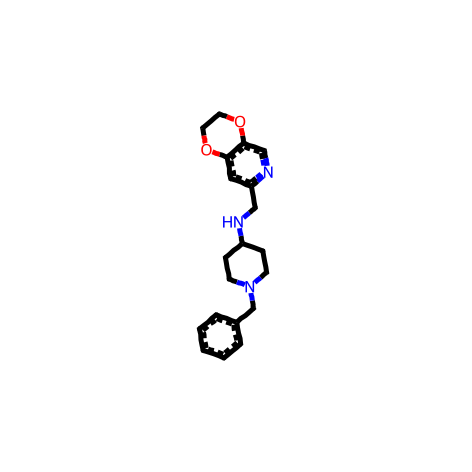 c1ccc(CN2CCC(NCc3cc4c(cn3)OCCO4)CC2)cc1